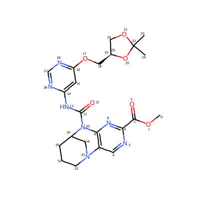 COC(=O)c1ncc2c(n1)N(C(=O)Nc1cc(OC[C@H]3COC(C)(C)O3)ncn1)C1CCCN2C1